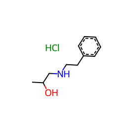 CC(O)CNCCc1ccccc1.Cl